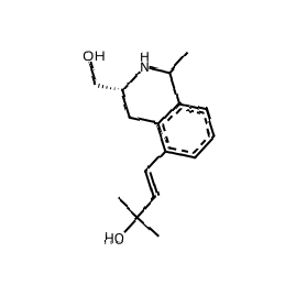 CC1N[C@@H](CO)Cc2c(/C=C/C(C)(C)O)cccc21